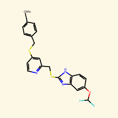 COc1ccc(CSc2ccnc(CSc3nc4cc(OC(F)F)ccc4[nH]3)c2)cc1